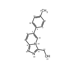 Cc1ccc(-c2ccc3nnc(CO)n3c2)cc1